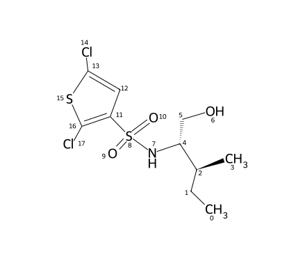 CC[C@H](C)[C@@H](CO)NS(=O)(=O)c1cc(Cl)sc1Cl